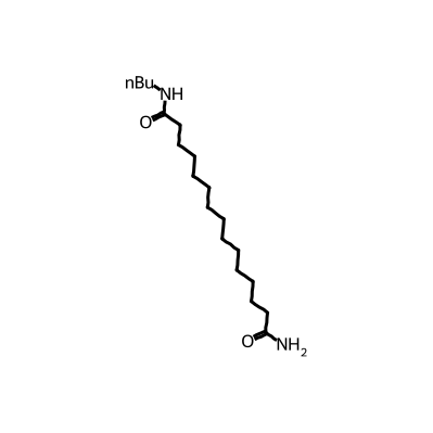 CCCCNC(=O)CCCCCCCCCCCCCC(N)=O